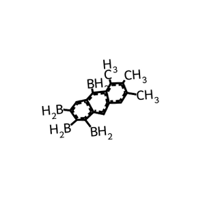 Bc1cc2c(B)c3c(C)c(C)c(C)cc3cc2c(B)c1B